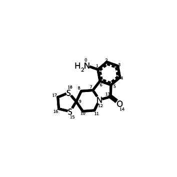 Nc1cccc2c1C1CC3(CCN1C2=O)SCCS3